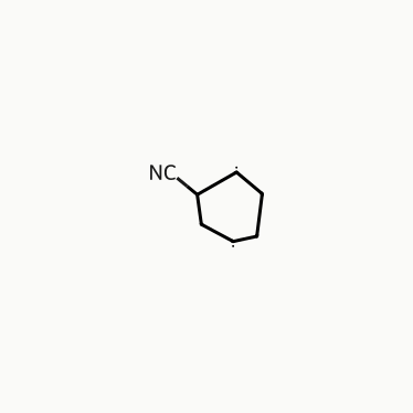 N#CC1[CH]CC[CH]C1